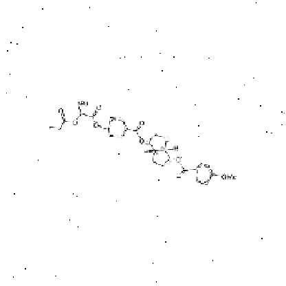 C=CC(=O)OC(CCCC)C(=O)Oc1ccc(C(=O)O[C@@H]2CO[C@H]3[C@@H]2CC[C@H]3OC(=O)c2ccc(OC)cc2)cc1